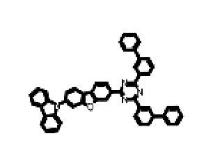 C1=CC(c2nc(-c3cccc(-c4ccccc4)c3)nc(C3C=Cc4c(oc5cc(-n6c7ccccc7c7ccccc76)ccc45)C3)n2)=CC(c2ccccc2)C1